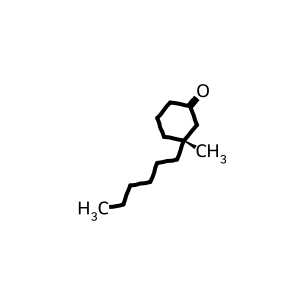 CCCCCC[C@]1(C)CCCC(=O)C1